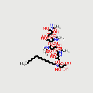 CCCCCC/C=C\CCCCCCCCCC(=O)NC1C(OCC(CO)C/C(O)=C(\NC(C)=O)C(O)OC2C(CO)OC(OC(CCO)/C(O)=C(/NC(C)=O)C(O)OC3C(CO)OC(O)C(NC(C)=O)C3O)C(NC(C)=O)C2O)OC(CO)C(O)C1O